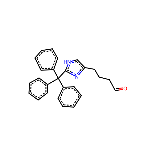 O=CCCCc1c[nH]c(C(c2ccccc2)(c2ccccc2)c2ccccc2)n1